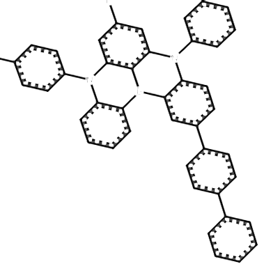 Cc1ccc(N2c3ccccc3B3c4cc(-c5ccc(-c6ccccc6)cc5)ccc4N(c4ccccc4)c4cc(F)cc2c43)cc1